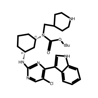 CC(C)(C)OC(=O)N(CC1CCNCC1)[C@H]1CCC[C@@H](Nc2ncc(Cl)c(-c3c[nH]c4ccccc34)n2)C1